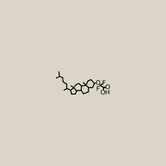 CC(C)CCCC(C)C1CCC2C3CCC4CC(OC(F)(F)C(=O)O)CCC4(C)C3CCC12C